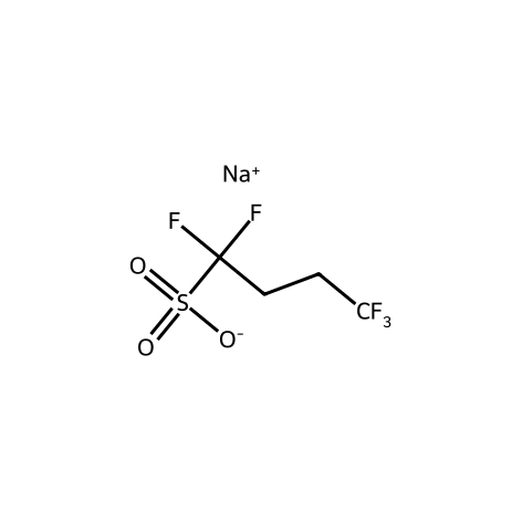 O=S(=O)([O-])C(F)(F)CCC(F)(F)F.[Na+]